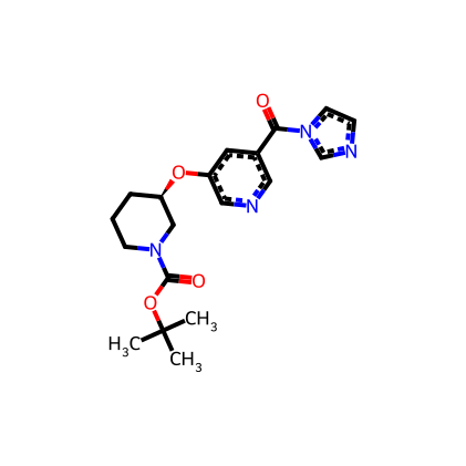 CC(C)(C)OC(=O)N1CCC[C@@H](Oc2cncc(C(=O)n3ccnc3)c2)C1